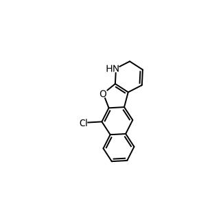 Clc1c2ccccc2cc2c3c(oc12)NCC=C3